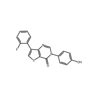 O=c1c2scc(-c3ccccc3F)c2ncn1-c1ccc(O)cc1